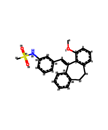 COc1cccc2c1C(=Cc1cccc(NS(C)(=O)=O)c1)c1ccccc1CC2